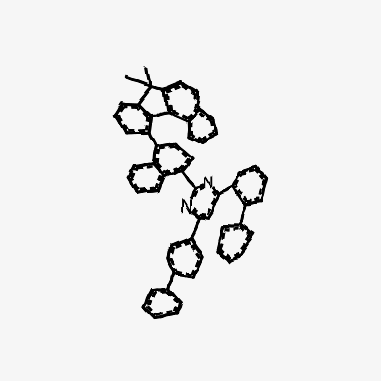 CC1(C)c2cccc(-c3ccc(-c4nc(-c5ccc(-c6ccccc6)cc5)cc(-c5ccccc5-c5ccccc5)n4)c4ccccc34)c2-c2c1ccc1ccccc21